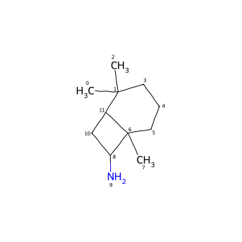 CC1(C)CCCC2(C)C(N)CC12